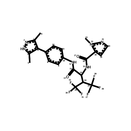 Cc1n[nH]c(C)c1-c1ccc(NC(=O)C(NC(=O)c2ccnn2C)C(C(F)(F)F)C(F)(F)F)cc1